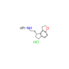 CCCNCC[C@@H]1CCc2ccc3c(c21)CCO3.Cl